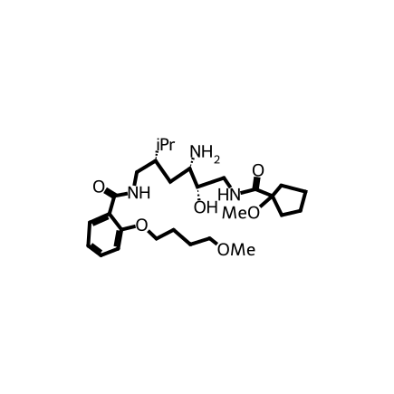 COCCCCOc1ccccc1C(=O)NC[C@@H](C[C@H](N)[C@@H](O)CNC(=O)C1(OC)CCCC1)C(C)C